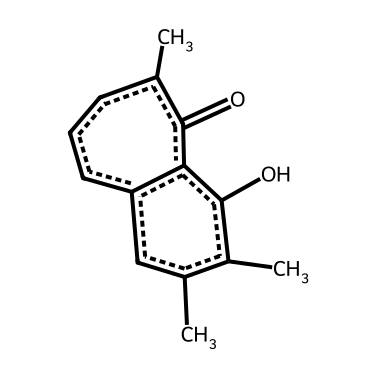 Cc1cc2cccc(C)c(=O)c2c(O)c1C